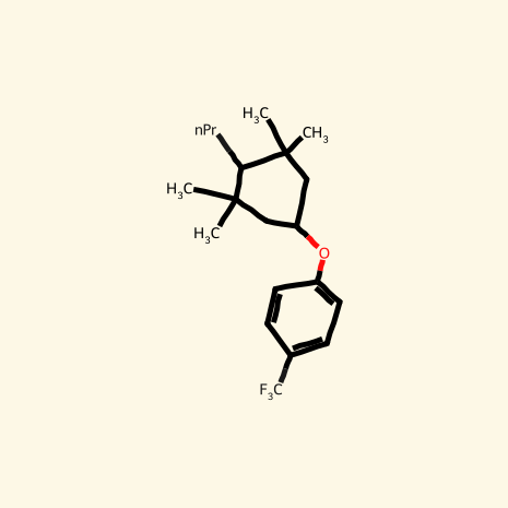 CCCC1C(C)(C)CC(Oc2ccc(C(F)(F)F)cc2)CC1(C)C